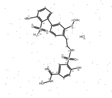 CCCCc1cccc(-c2ccc(CCNS(=O)(=O)c3cc(C(=N)NO)ccc3O)c(OOC(C)=O)c2)c1S(C)(=O)=O.Cl